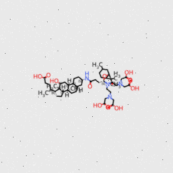 CC1CCC2C(C)(C)C2(O[C@@H](CCC(=O)N[C@H]2CC[C@@]3(C)[C@H](CC[C@@H]4[C@@H]3C[C@H](O)[C@]3(C)[C@@H]([C@H](C)CCC(=O)O)CC[C@@H]43)C2)N(CCN(CC(=O)O)CC(=O)O)CCN(CC(=O)O)CC(=O)O)C1